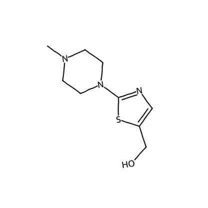 CN1CCN(c2ncc(CO)s2)CC1